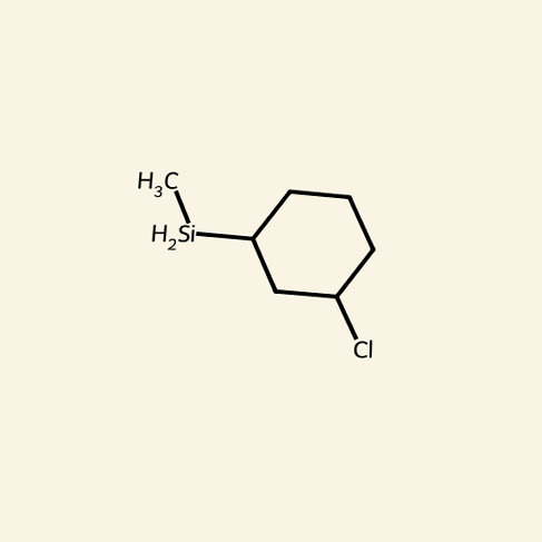 C[SiH2]C1CCCC(Cl)C1